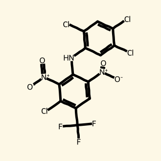 O=[N+]([O-])c1cc(C(F)(F)F)c(Cl)c([N+](=O)[O-])c1Nc1cc(Cl)c(Cl)cc1Cl